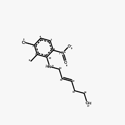 Cc1c(Cl)ccc([N+](=O)[O-])c1NC/C=C/CCO